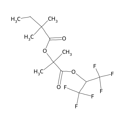 CCC(C)(C)C(=O)OC(C)(C)C(=O)OC(C(F)(F)F)C(F)(F)F